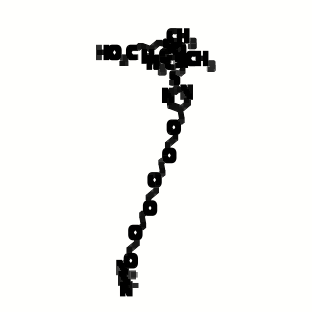 C[Si](C)(CCCC(=O)O)O[Si](C)(C)CSc1ncc(COCCOCCOCCOCCOCCON=[N+]=[N-])cn1